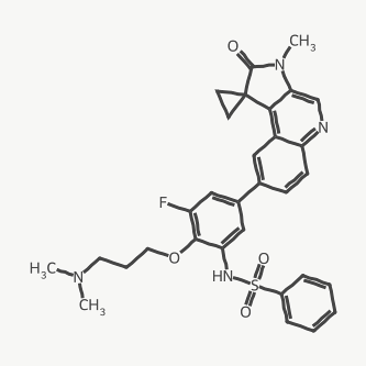 CN(C)CCCOc1c(F)cc(-c2ccc3ncc4c(c3c2)C2(CC2)C(=O)N4C)cc1NS(=O)(=O)c1ccccc1